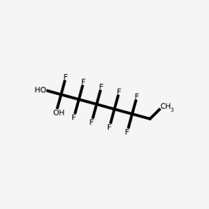 CCC(F)(F)C(F)(F)C(F)(F)C(F)(F)C(O)(O)F